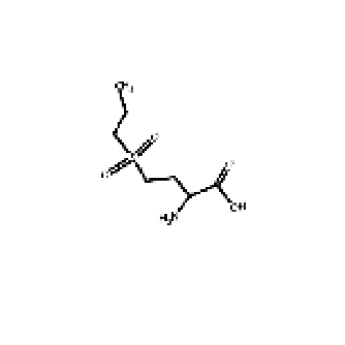 CCCS(=O)(=O)CCC(N)C(=O)O